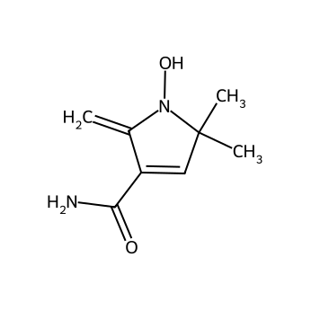 C=C1C(C(N)=O)=CC(C)(C)N1O